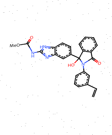 C=Cc1cccc(N2C(=O)c3ccccc3C2(O)c2ccc3[nH]c(NC(=O)OC)nc3c2)c1